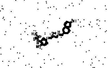 CS(=O)(=O)Nc1cc(OC[C@@H](O)CNCC2CCc3cc(O)ccc3C2)ccc1O